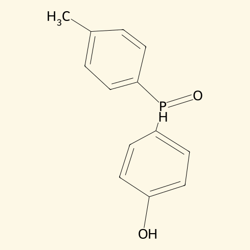 Cc1ccc([PH](=O)c2ccc(O)cc2)cc1